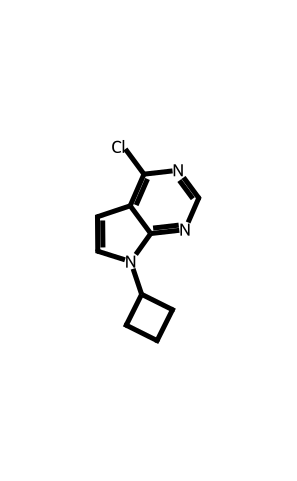 Clc1ncnc2c1ccn2C1CCC1